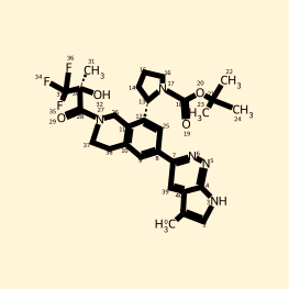 Cc1c[nH]c2nnc(-c3cc4c(c([C@@H]5CCCN5C(=O)OC(C)(C)C)c3)CN(C(=O)[C@](C)(O)C(F)(F)F)CC4)cc12